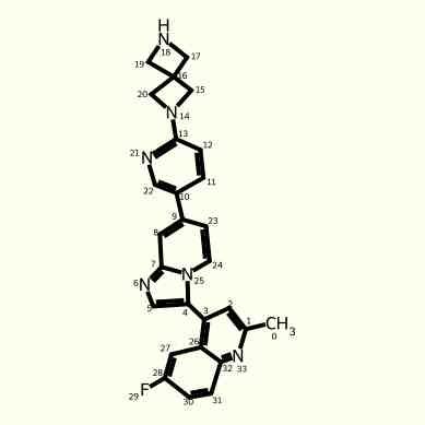 Cc1cc(-c2cnc3cc(-c4ccc(N5CC6(CNC6)C5)nc4)ccn23)c2cc(F)ccc2n1